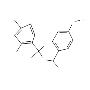 CCCCCc1ccc(C(F)(F)OC(C)c2ccc(OC(F)(F)F)cc2)c(F)c1